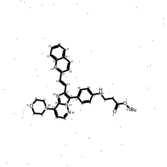 CC(C)(C)OC(=O)CCNc1ccc(-c2c(/C=C/c3ccc4ccccc4n3)nc3c(N4CCOCC4)ccnn23)cc1